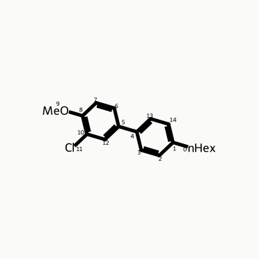 CCCCCCc1ccc(-c2ccc(OC)c(Cl)c2)cc1